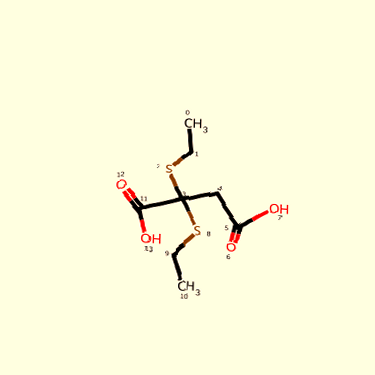 CCSC(CC(=O)O)(SCC)C(=O)O